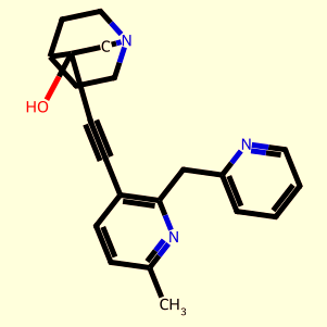 Cc1ccc(C#CC2(O)CN3CCC2CC3)c(Cc2ccccn2)n1